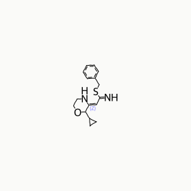 N=C(/C=C1\NCCOC1C1CC1)SCc1ccccc1